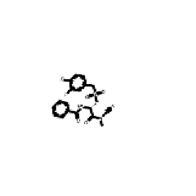 CN(C#N)C(=O)[C@@H](CS(=O)(=O)Cc1ccc(F)c(F)c1)NC(=O)c1ccccc1